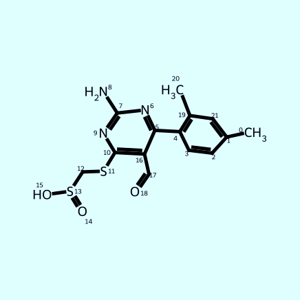 Cc1ccc(-c2nc(N)nc(SCS(=O)O)c2C=O)c(C)c1